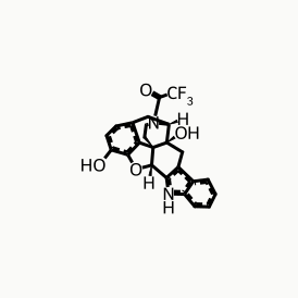 O=C(N1CC[C@]23c4c5ccc(O)c4O[C@H]2c2[nH]c4ccccc4c2C[C@@]3(O)[C@H]1C5)C(F)(F)F